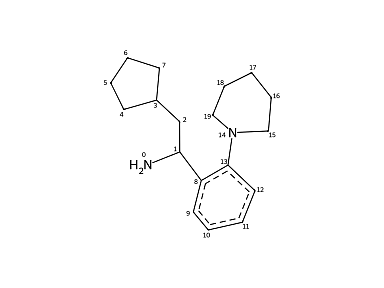 NC(CC1CCCC1)c1ccccc1N1CCCCC1